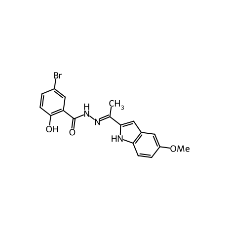 COc1ccc2[nH]c(/C(C)=N/NC(=O)c3cc(Br)ccc3O)cc2c1